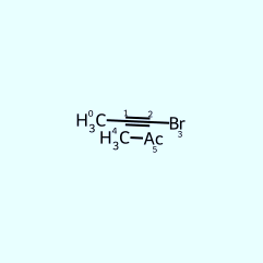 CC#CBr.CC(C)=O